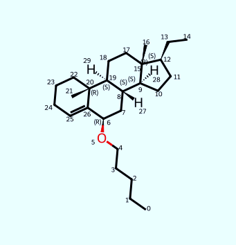 CCCCCO[C@@H]1C[C@H]2[C@@H]3CC[C@H](CC)[C@@]3(C)CC[C@@H]2[C@@]2(C)CCCC=C12